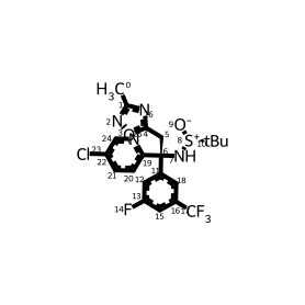 Cc1noc(C[C@@](N[S@@+]([O-])C(C)(C)C)(c2cc(F)cc(C(F)(F)F)c2)c2ccc(Cl)cn2)n1